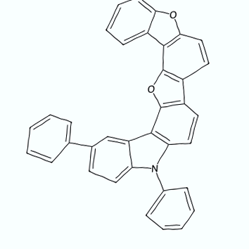 c1ccc(-c2ccc3c(c2)c2c4oc5c(ccc6oc7ccccc7c65)c4ccc2n3-c2ccccc2)cc1